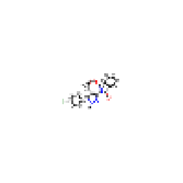 Cn1nc(N2C(=O)c3ccccc3C2O)c(C2CC2)c1-c1ccc(F)cc1